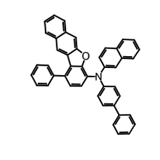 c1ccc(-c2ccc(N(c3ccc4ccccc4c3)c3ccc(-c4ccccc4)c4c3oc3cc5ccccc5cc34)cc2)cc1